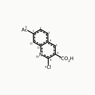 CC(=O)c1ccc2cc(C(=O)O)c(Cl)nc2c1